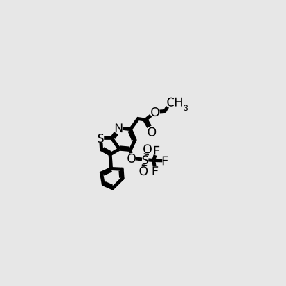 CCOC(=O)Cc1cc(OS(=O)(=O)C(F)(F)F)c2c(-c3ccccc3)csc2n1